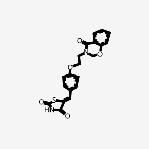 O=C1NC(=O)C(=Cc2ccc(OCCN3COc4ccccc4C3=O)cc2)S1